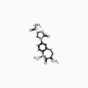 C=C1CCc2cc(N3C[C@H](C(N)=O)OC3=O)ccc2N(C)C1=O